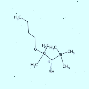 CCCCO[Si](C)(C)[C@@H](S)[Si](C)(C)C